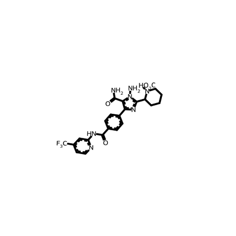 NC(=O)c1c(-c2ccc(C(=O)Nc3cc(C(F)(F)F)ccn3)cc2)nc(C2CCCCN2C(=O)O)n1N